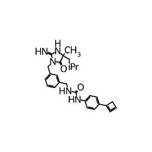 CC(C)CC1(C)NC(=N)N(Cc2cccc(CNC(=O)Nc3ccc(C4=C=CC4)cc3)c2)C1=O